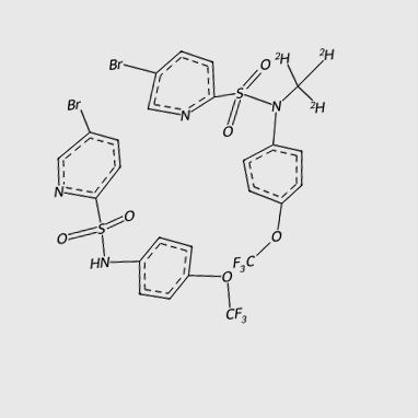 O=S(=O)(Nc1ccc(OC(F)(F)F)cc1)c1ccc(Br)cn1.[2H]C([2H])([2H])N(c1ccc(OC(F)(F)F)cc1)S(=O)(=O)c1ccc(Br)cn1